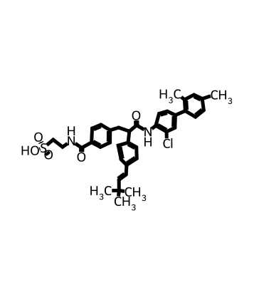 Cc1ccc(-c2ccc(NC(=O)C(Cc3ccc(C(=O)NCCS(=O)(=O)O)cc3)c3ccc(/C=C/C(C)(C)C)cc3)c(Cl)c2)c(C)c1